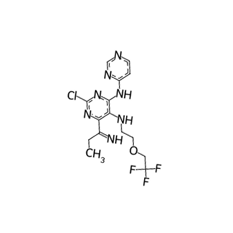 CCC(=N)c1nc(Cl)nc(Nc2ccncn2)c1NCCOCC(F)(F)F